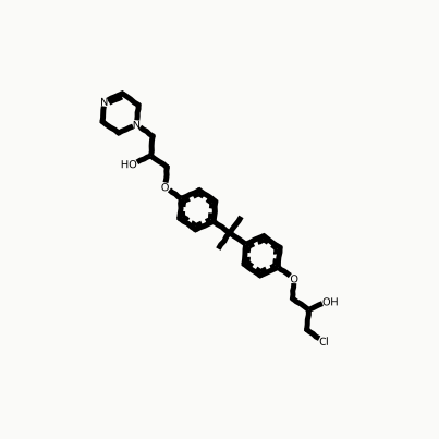 CC(C)(c1ccc(OCC(O)CCl)cc1)c1ccc(OCC(O)CN2CC=NCC2)cc1